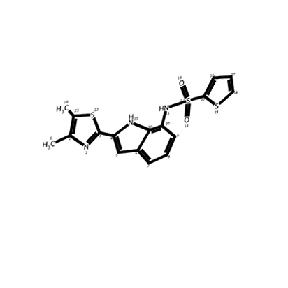 Cc1nc(-c2cc3cccc(NS(=O)(=O)c4cccs4)c3[nH]2)sc1C